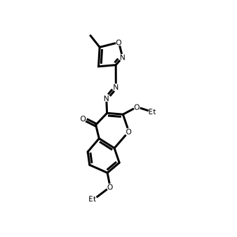 CCOc1ccc2c(=O)c(/N=N/c3cc(C)on3)c(OCC)oc2c1